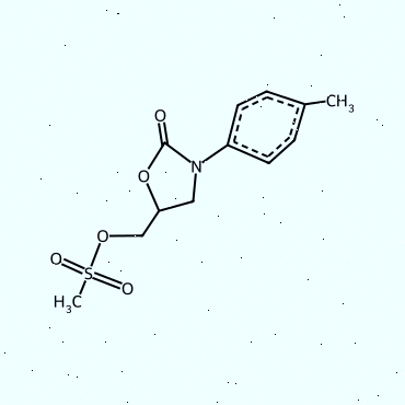 Cc1ccc(N2CC(COS(C)(=O)=O)OC2=O)cc1